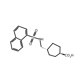 O=C(O)[C@H]1CC[C@H](CNS(=O)(=O)c2cccc3ccccc23)CC1